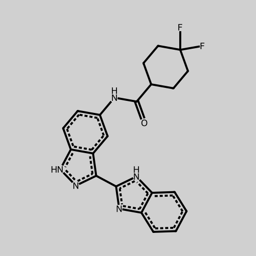 O=C(Nc1ccc2[nH]nc(-c3nc4ccccc4[nH]3)c2c1)C1CCC(F)(F)CC1